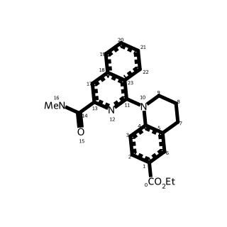 CCOC(=O)c1ccc2c(c1)CCCN2c1nc(C(=O)NC)cc2ccccc12